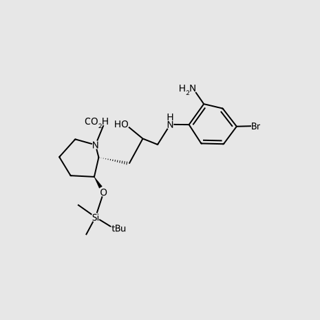 CC(C)(C)[Si](C)(C)O[C@H]1CCCN(C(=O)O)[C@@H]1CC(O)CNc1ccc(Br)cc1N